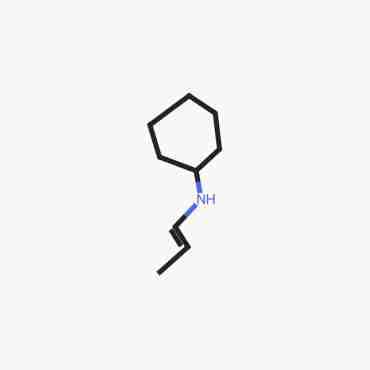 CC=CNC1CCCCC1